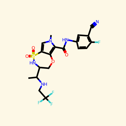 CC(NCC(F)(F)F)C1COc2c(cn(C)c2C(=O)Nc2ccc(F)c(C#N)c2)S(=O)(=O)N1